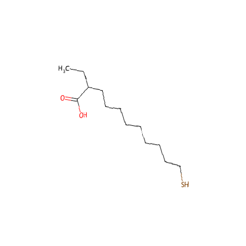 CCC(CCCCCCCCCS)C(=O)O